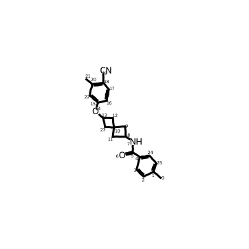 Cc1ccc(C(=O)NC2CC3(C2)CC(Oc2ccc(C#N)c(C)c2)C3)cc1